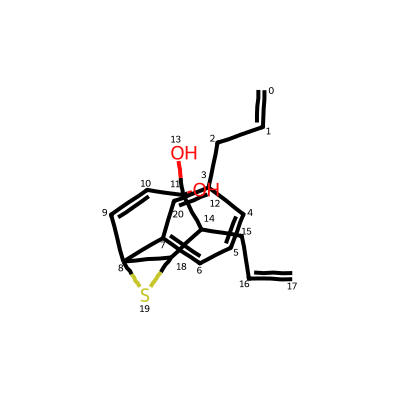 C=CCc1cccc(C23C=CC(O)(O)C(CC=C)C2S3)c1